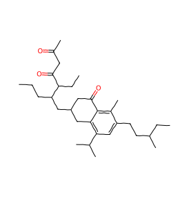 CCCC(CC1CC(=O)c2c(C)c(CCC(C)CC)cc(C(C)C)c2C1)C(CC)C(=O)CC(C)=O